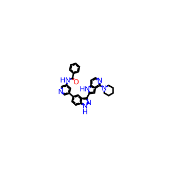 O=C(Nc1cncc(-c2ccc3[nH]nc(-c4cc5c(N6CCCCC6)nccc5[nH]4)c3c2)c1)c1ccccc1